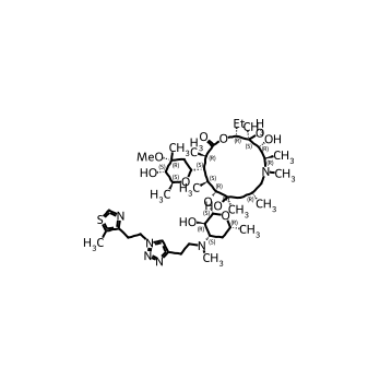 CC[C@H]1OC(=O)[C@H](C)[C@@H](C2C[C@@](C)(OC)[C@@H](O)[C@H](C)O2)[C@H](C)[C@@H](O[C@@H]2O[C@H](C)C[C@H](N(C)CCc3cn(CCc4ncsc4C)nn3)[C@H]2O)[C@](C)(O)C[C@@H](C)CN(C)[C@H](C)[C@@H](O)[C@]1(C)O